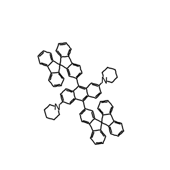 c1ccc2c(c1)-c1ccccc1C21c2ccccc2-c2ccc(-c3c4ccc(N5CCCCC5)cc4c(-c4ccc5c(c4)C4(c6ccccc6-c6ccccc64)c4ccccc4-5)c4ccc(N5CCCCC5)cc34)cc21